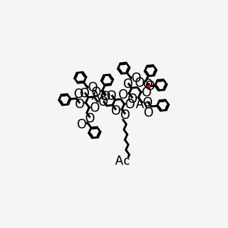 CC(=O)CCCCCCCCOC1OC(COC2OC(COC(=O)c3ccccc3)C(OC(=O)c3ccccc3)C(OC(=O)c3ccccc3)C2OC(=O)c2ccccc2)C(OC(C)=O)C(OC2OC(COC(=O)c3ccccc3)C(OC(=O)c3ccccc3)C(OC(=O)c3ccccc3)C2OC(=O)c2ccccc2)C1OC(C)=O